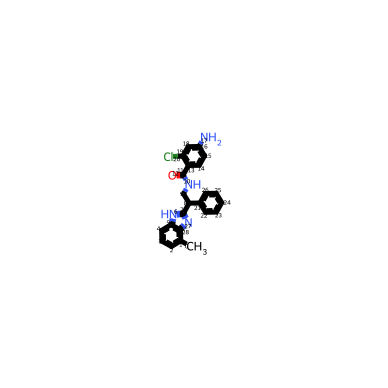 Cc1cccc2[nH]c(C(CNC(=O)c3ccc(N)cc3Cl)c3ccccc3)nc12